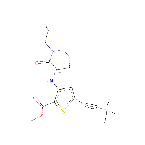 CCCN1CCC[C@H](Nc2cc(C#CC(C)(C)C)sc2C(=O)OC)C1=O